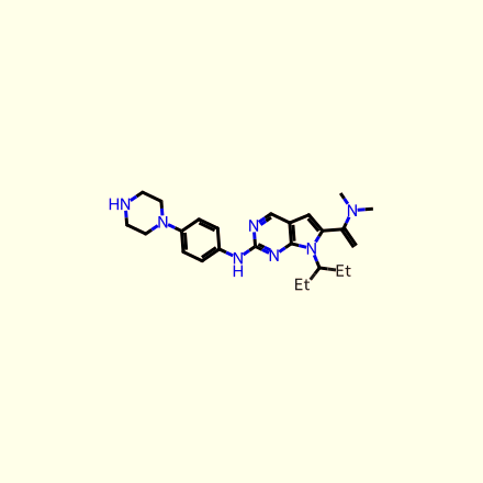 C=C(c1cc2cnc(Nc3ccc(N4CCNCC4)cc3)nc2n1C(CC)CC)N(C)C